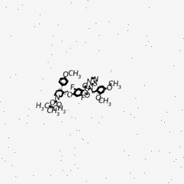 COc1ccc([C@H]2CCN(C(=O)OC(C)(C)C)C[C@@H]2COc2cc(F)c(S(=O)(=O)N(Cc3ccc(OC)cc3OC)c3ncns3)cc2F)cc1